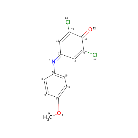 COc1ccc(N=C2C=C(Cl)C(=O)C(Cl)=C2)cc1